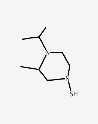 CC(C)N1CCN(S)CC1C